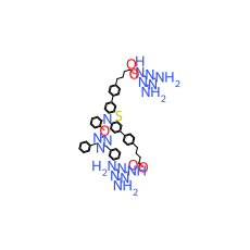 Nc1nc(N)nc(NOC(=O)CCCc2ccc(-c3ccc4c(c3)Sc3cc(-c5ccc(CCCC(=O)ONc6nc(N)nc(N)n6)cc5)ccc3N4c3ccccc3Oc3nc(-c4ccccc4)nc(-c4ccccc4)n3)cc2)n1